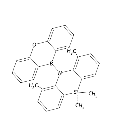 Cc1cccc2c1N(B1c3ccccc3Oc3ccccc31)c1c(C)cccc1[Si]2(C)C